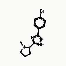 CN1CCCC1c1nc(-c2ccc(Br)cc2)c[nH]1